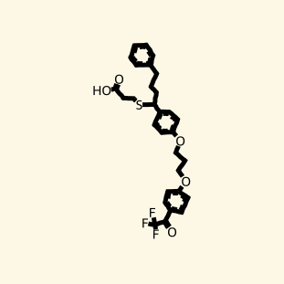 O=C(O)CCSC(CCCc1ccccc1)c1ccc(OCCCOc2ccc(C(=O)C(F)(F)F)cc2)cc1